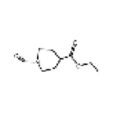 CCOC(=O)C1[CH]CN(C=O)CC1